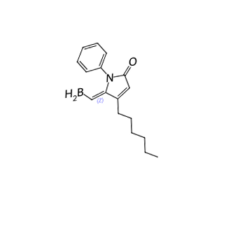 B/C=C1/C(CCCCCC)=CC(=O)N1c1ccccc1